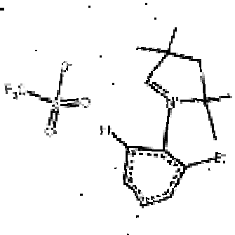 CCc1cccc(CC)c1[N+]1=CC(C)(C)CC1(C)C.O=S(=O)([O-])C(F)(F)F